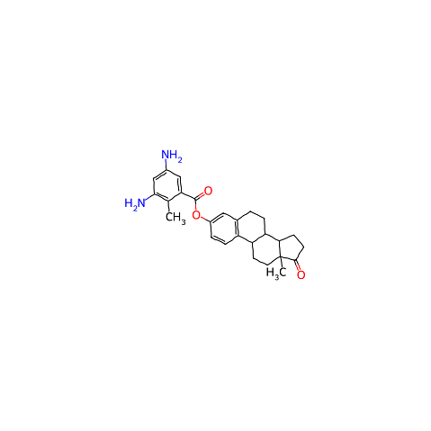 Cc1c(N)cc(N)cc1C(=O)Oc1ccc2c(c1)CCC1C2CCC2(C)C(=O)CCC12